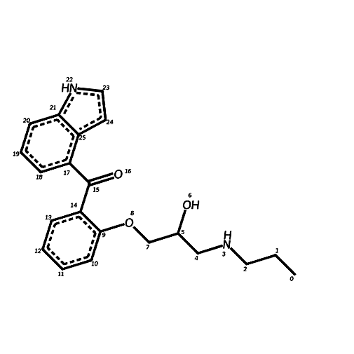 CCCNCC(O)COc1ccccc1C(=O)c1cccc2[nH]ccc12